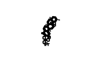 CC1=C(OC(=O)OC(C)C)C(=O)C=C2C1=CC=C1[C@@]2(C)CC[C@@]2(C)[C@@H]3C[C@@H](C)CC[C@]3(C)CC[C@]12C